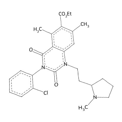 CCOC(=O)c1c(C)cc2c(c1C)c(=O)n(-c1ccccc1Cl)c(=O)n2CCC1CCCN1C